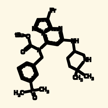 CC(C)c1cnn2c(N(Cc3cccc(P(C)(C)=O)c3)C(=O)OC(C)(C)C)cc(NC3CCC(C)(C)NC3)nc12